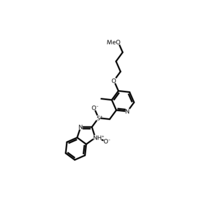 COCCCOc1ccnc(C[S+]([O-])C2=Nc3ccccc3[NH+]2[O-])c1C